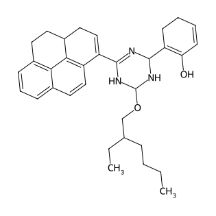 CCCCC(CC)COC1NC(C2=CCC3CCc4cccc5ccc2c3c45)=NC(C2=C(O)C=CCC2)N1